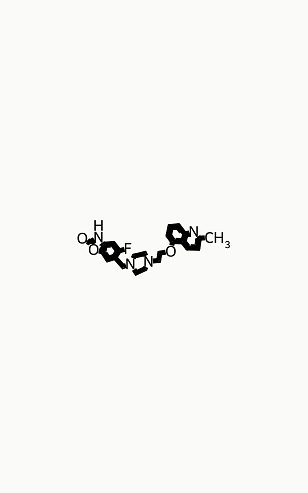 Cc1ccc2c(OCCN3CCN(Cc4cc5oc(=O)[nH]c5cc4F)CC3)cccc2n1